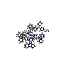 N#Cc1ccc2c(c1)-c1ccccc1C2c1ccc2c(c1)c1ccccc1n2-c1nc(-c2cccc([Si](c3ccccc3)(c3ccccc3)c3ccccc3)c2)nc(-n2c3ccc(-n4c5ccccc5c5ccccc54)cc3c3cc(-n4c5ccccc5c5ccccc54)ccc32)n1